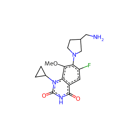 COc1c(N2CCC(CN)C2)c(F)cc2c(=O)[nH]c(=O)n(C3CC3)c12